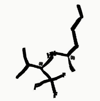 CCCC[C@H](C)N[C@H](C(C)C)C(F)(F)F